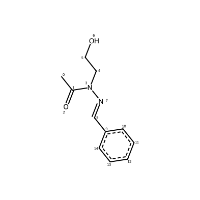 CC(=O)N(CCO)N=Cc1ccccc1